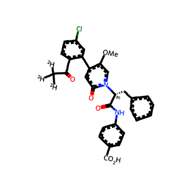 [2H]C([2H])([2H])C(=O)c1ccc(Cl)cc1-c1cc(=O)n([C@H](Cc2ccccc2)C(=O)Nc2ccc(C(=O)O)cc2)cc1OC